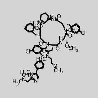 COCCN(C)C(=O)C[C@H]1C(=O)N[C@@H](COC)C(=O)N(C)[C@@H](Cc2ccc(Cl)cc2)CC(=O)N[C@H]2CCCC[C@@H]2N(C)C(=O)[C@H](Cc2ccccc2)CC(=O)N1Cc1ccc(Cl)cc1Oc1ccc(-c2cnc(CN(C)C)n2C)cc1